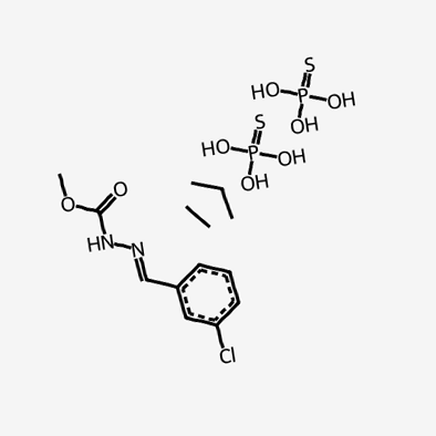 CC.CCC.COC(=O)NN=Cc1cccc(Cl)c1.OP(O)(O)=S.OP(O)(O)=S